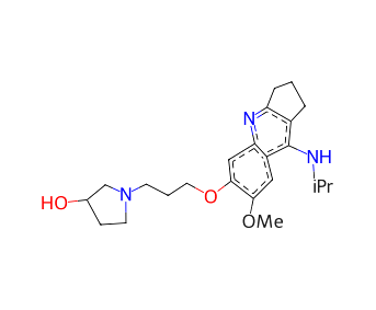 COc1cc2c(NC(C)C)c3c(nc2cc1OCCCN1CCC(O)C1)CCC3